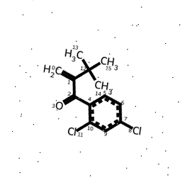 C=C(C(=O)c1ccc(Cl)cc1Cl)C(C)(C)C